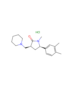 Cc1ccc([C@H]2C[C@@H](CN3CCCCC3)C(=O)N2C)cc1C.Cl